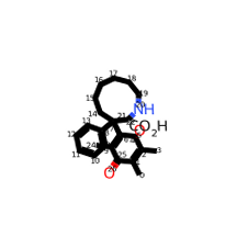 CC1=C(C)C(=O)C(C2(c3ccccc3)CCCCCCNC2C(=O)O)=C(C)C1=O